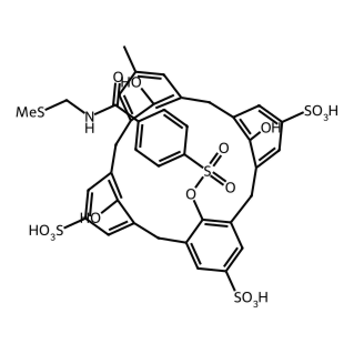 CSCNC(=O)c1ccc(S(=O)(=O)Oc2c3cc(S(=O)(=O)O)cc2Cc2cc(S(=O)(=O)O)cc(c2O)Cc2cc(C)cc(c2O)Cc2cc(S(=O)(=O)O)cc(c2O)C3)cc1